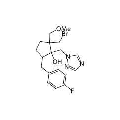 COCC1(CBr)CCC(Cc2ccc(F)cc2)C1(O)Cn1cncn1